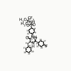 CC(C)(NS(=O)(=O)c1ccc(NC(=O)C(Cc2ccccc2)NC(=O)c2ccc(F)cc2)cc1)C(F)(F)F